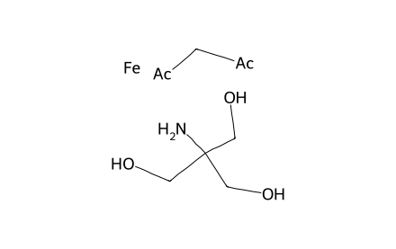 CC(=O)CC(C)=O.NC(CO)(CO)CO.[Fe]